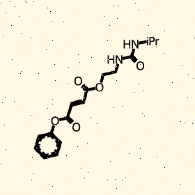 CC(C)NC(=O)NCCOC(=O)/C=C/C(=O)Oc1ccccc1